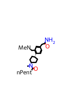 CCCCCC(=O)N(C)[C@H]1CC[C@H](c2ccc(CC(N)=O)cc2CNC)CC1